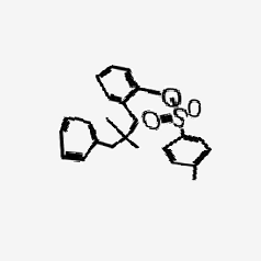 Cc1ccc(S(=O)(=O)Oc2ccccc2CC(C)(C)Cc2ccccc2)cc1